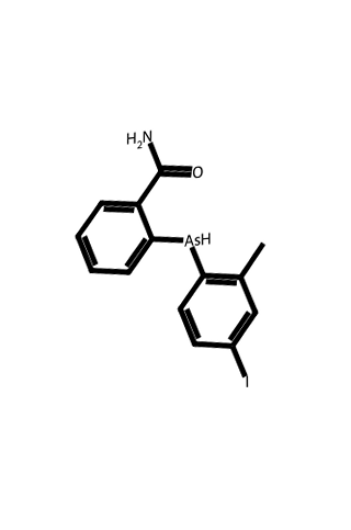 Cc1cc(I)ccc1[AsH]c1ccccc1C(N)=O